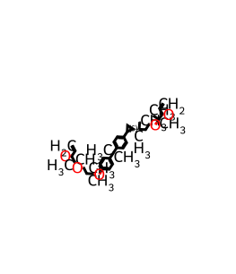 C=CC(=O)C(C)(C)OCCC(C)(C)Oc1ccc(C(C)(C)c2ccc(C3C[C@@H]3C(C)(CC)CCOC(C)(CC)C(=O)C=C)cc2)cc1